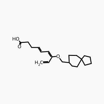 C=C/C(=C\C=C\CCC(=O)O)OCC1CCC2(CCCC2)CC1